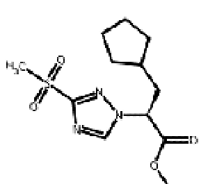 COC(=O)[C@H](CC1CCCC1)n1cnc(S(C)(=O)=O)n1